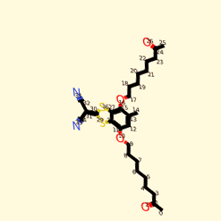 CC(=O)CCCCCCCOc1cc(C)c(OCCCCCCCC(C)=O)c2c1SC(=C(C#N)C#N)S2